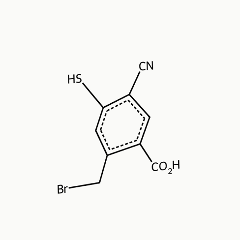 N#Cc1cc(C(=O)O)c(CBr)cc1S